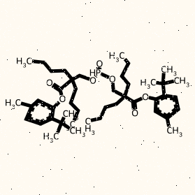 CCCCC(CCCC)(CO[PH](=O)OCC(CCCC)(CCCC)C(=O)Oc1cc(C)ccc1C(C)(C)C)C(=O)Oc1cc(C)ccc1C(C)(C)C